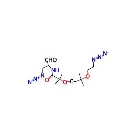 CC(C)(CCOC(C)(C)C(=O)NC(C=O)CN=[N+]=[N-])OCCN=[N+]=[N-]